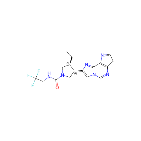 CC[C@@H]1CN(C(=O)NCC(F)(F)F)C[C@@H]1c1cn2cnc3c(c2n1)N=CC3